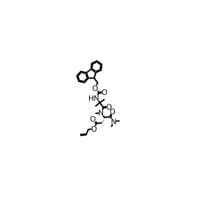 C=CCOC(=O)C[C@@H](C(=O)N(C)C)N(C)C(=O)C(C)(C)NC(=O)OCC1c2ccccc2-c2ccccc21